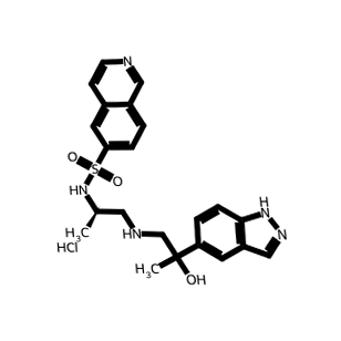 C[C@H](CNCC(C)(O)c1ccc2[nH]ncc2c1)NS(=O)(=O)c1ccc2cnccc2c1.Cl